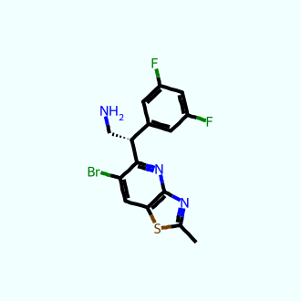 Cc1nc2nc([C@H](CN)c3cc(F)cc(F)c3)c(Br)cc2s1